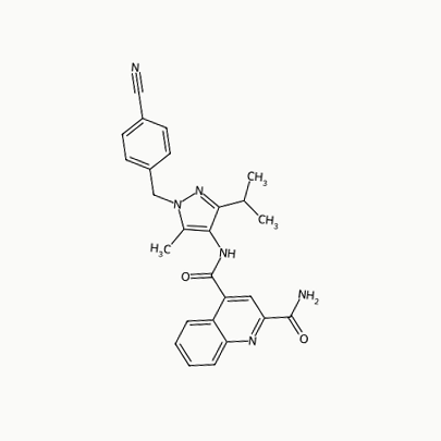 Cc1c(NC(=O)c2cc(C(N)=O)nc3ccccc23)c(C(C)C)nn1Cc1ccc(C#N)cc1